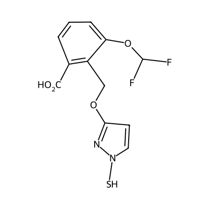 O=C(O)c1cccc(OC(F)F)c1COc1ccn(S)n1